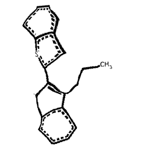 CCCC1=C(c2cc3ccccc3s2)[CH]c2ccccc21